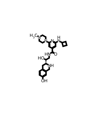 CN1CCN(c2cc(C(=O)NCC(O)[C@@H]3Cc4ccc(O)cc4CN3)cc(NC3CCC3)n2)CC1